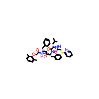 Cc1cccc(C)c1OCC(=O)N[C@@H](Cc1ccccc1)C[C@H](O)[C@H](Cc1ccccc1)NC(=O)[C@H](CC(C)C)NC(=O)CSc1ccccn1